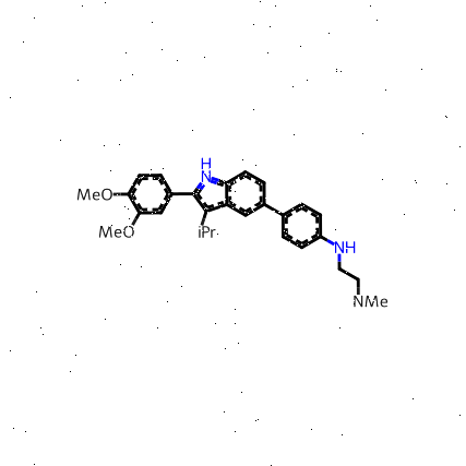 CNCCNc1ccc(-c2ccc3[nH]c(-c4ccc(OC)c(OC)c4)c(C(C)C)c3c2)cc1